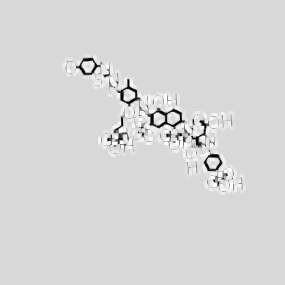 COc1ccc2nc(N=Nc3cc(OCCCS(=O)(=O)O)c(N=Nc4c(S(=O)(=O)O)cc5c(S(=O)(=O)O)c(N=Nc6c(C(=O)O)nn(-c7ccc(S(=O)(=O)O)cc7)c6O)ccc5c4O)cc3C)sc2c1